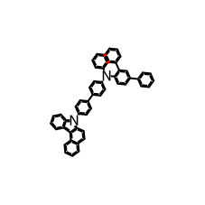 c1ccc(-c2ccc(N(c3ccccc3)c3ccc(-c4ccc(-n5c6ccccc6c6c7ccccc7ccc65)cc4)cc3)c(-c3ccccc3)c2)cc1